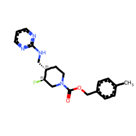 Cc1ccc(COC(=O)N2CC[C@@H](CNc3ncccn3)[C@H](F)C2)cc1